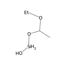 CCOC(C)O[SiH2]O